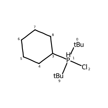 CC(C)(C)[PH](Cl)(C1CCCCC1)C(C)(C)C